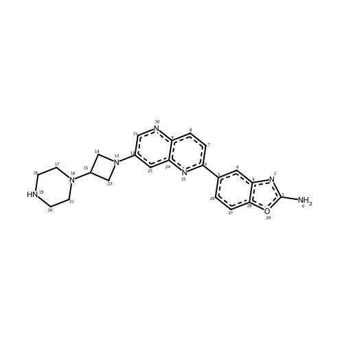 Nc1nc2cc(-c3ccc4ncc(N5CC(N6CCNCC6)C5)cc4n3)ccc2o1